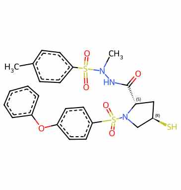 Cc1ccc(S(=O)(=O)N(C)NC(=O)[C@@H]2C[C@@H](S)CN2S(=O)(=O)c2ccc(Oc3ccccc3)cc2)cc1